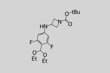 CCOC(OCC)c1c(F)cc(NC2CN(C(=O)OC(C)(C)C)C2)cc1F